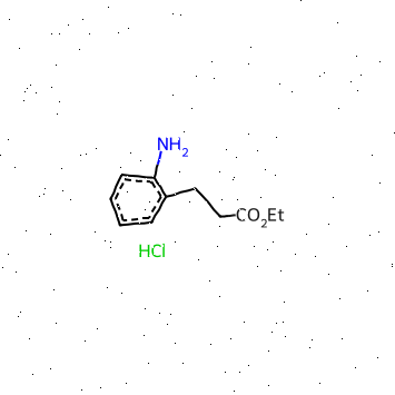 CCOC(=O)CCc1ccccc1N.Cl